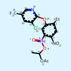 CCc1cc([N+](=O)[O-])c([PH](=O)OC(C)OC(C)=O)cc1Oc1ncc(C(F)(F)F)cc1Cl